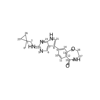 CC1(CNc2ncc3c(-c4ccc5c(c4)OCCNC5=O)c[nH]c3n2)CC1